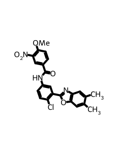 COc1ccc(C(=O)Nc2ccc(Cl)c(-c3nc4cc(C)c(C)cc4o3)c2)cc1[N+](=O)[O-]